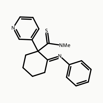 CNC(=S)C1(c2cccnc2)CCCCC1=Nc1ccccc1